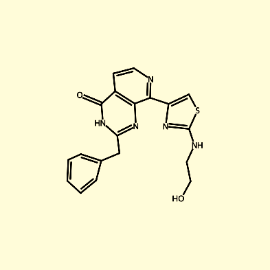 O=c1[nH]c(Cc2ccccc2)nc2c(-c3csc(NCCO)n3)nccc12